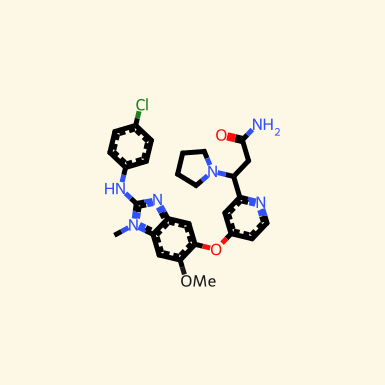 COc1cc2c(cc1Oc1ccnc(C(CC(N)=O)N3CCCC3)c1)nc(Nc1ccc(Cl)cc1)n2C